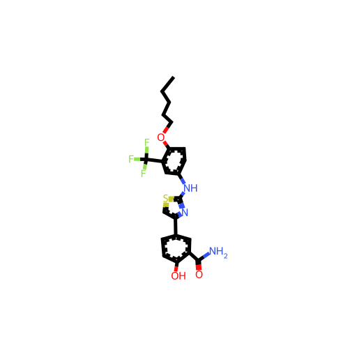 CCCCCOc1ccc(Nc2nc(-c3ccc(O)c(C(N)=O)c3)cs2)cc1C(F)(F)F